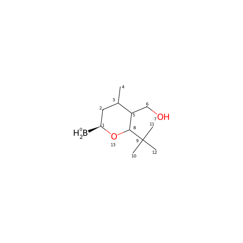 B[C@H]1CC(C)C(CO)C(C(C)(C)C)O1